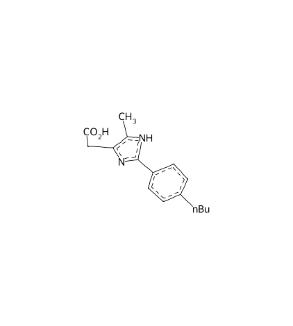 CCCCc1ccc(-c2nc(CC(=O)O)c(C)[nH]2)cc1